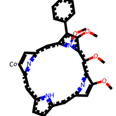 COC1=Cc2cc3ccc(cc4nc(cc5c(-c6ccccc6)c(OC)c(c(OC)c1n2)n5OC)C=C4)[nH]3.[Co]